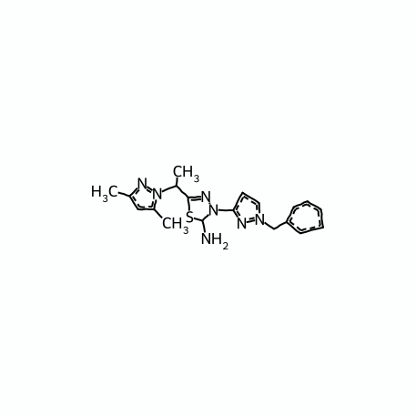 Cc1cc(C)n(C(C)C2=NN(c3ccn(Cc4ccccc4)n3)C(N)S2)n1